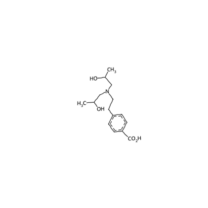 CC(O)CN(CCc1ccc(C(=O)O)cc1)CC(C)O